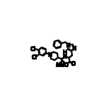 COC(=O)C(Cc1cn(Cc2ccccc2)cn1)NC(=O)C1CCN(c2ccc(Cl)c(Cl)c2)CC1